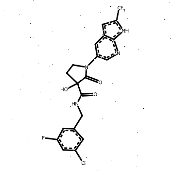 O=C(NCc1cc(F)cc(Cl)c1)C1(O)CCN(c2cnc3[nH]c(C(F)(F)F)cc3c2)C1=O